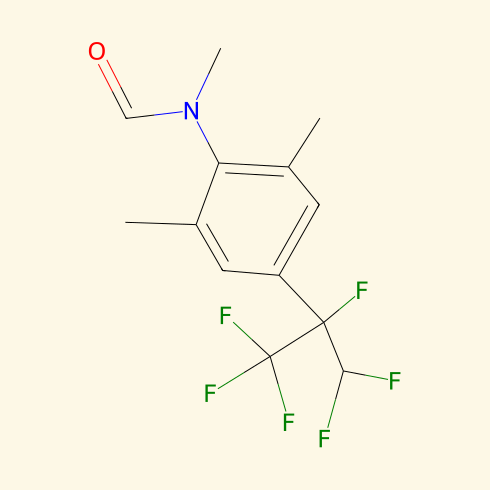 Cc1cc(C(F)(C(F)F)C(F)(F)F)cc(C)c1N(C)C=O